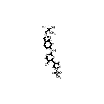 CC(C)(O)Cn1cc2ccc(Nc3ncc(Cl)c(-c4cnn(S(C)(=O)=O)c4)n3)cc2n1